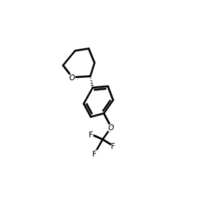 FC(F)(F)Oc1ccc([C@H]2CCCCO2)cc1